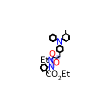 CCOC(=O)c1ccccc1/N=C1/O/C(=C/c2ccc(N(C3=CC=CC(C)C3)c3ccccc3)cc2)C(=O)N1CC